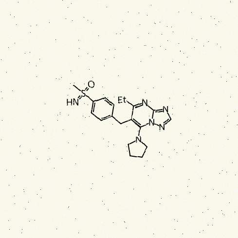 CCc1nc2ncnn2c(N2CCCC2)c1Cc1ccc(S(C)(=N)=O)cc1